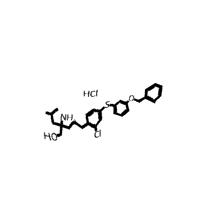 CC(C)CC(N)(CO)CCCc1ccc(Sc2cccc(OCc3ccccc3)c2)cc1Cl.Cl